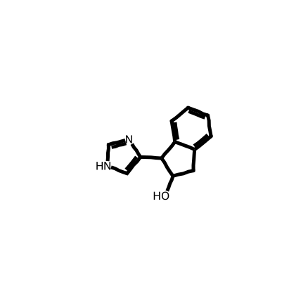 OC1Cc2ccccc2C1c1c[nH]cn1